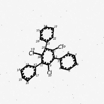 Clc1c(-c2ccccc2)c(Cl)c(-c2ccccc2)c(Cl)c1-c1ccccc1